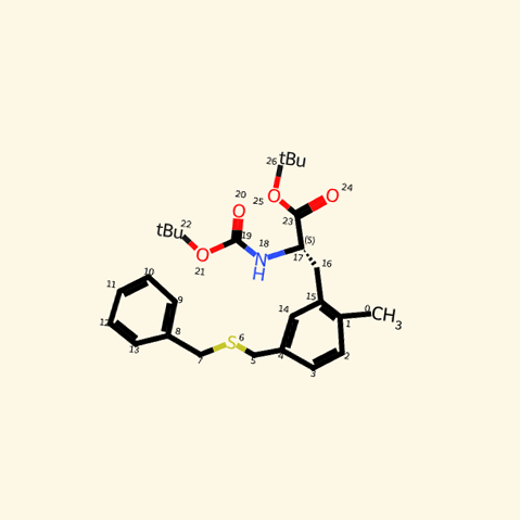 Cc1ccc(CSCc2ccccc2)cc1C[C@H](NC(=O)OC(C)(C)C)C(=O)OC(C)(C)C